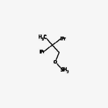 CC(C)C(C)(CO[SiH3])C(C)C